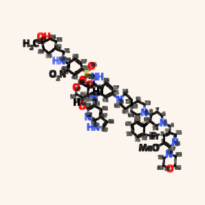 COc1cc(CN2CC[C@H](N3CCC4(CCN(c5ccc(C(=O)NS(=O)(=O)c6ccc(NCC7CCC(C)(O)CC7)c([N+](=O)[O-])c6)c(N6c7cc8cc[nH]c8nc7O[C@H]7COCC[C@@H]76)c5)CC4)CC3)[C@H](c3ccccc3C(C)C)C2)cnc1N1CCOCC1